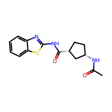 CC(=O)N[C@H]1CC[C@@H](C(=O)Nc2nc3ccccc3s2)C1